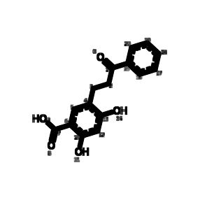 O=C(CCc1cc(C(=O)O)c(O)cc1O)c1ccccc1